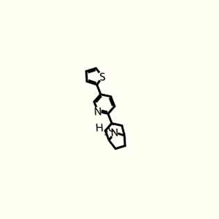 CN1C2CCC1CC(c1ccc(-c3cccs3)cn1)C2